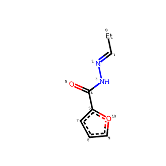 CC/C=N/NC(=O)c1ccco1